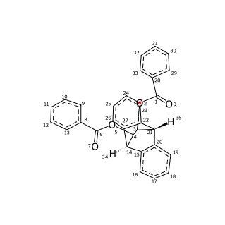 O=C(OC1C(OC(=O)c2ccccc2)[C@H]2c3ccccc3[C@H]1c1ccccc12)c1ccccc1